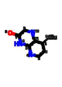 CC(C)(C)c1ccnc2[nH]c(=O)cnc12